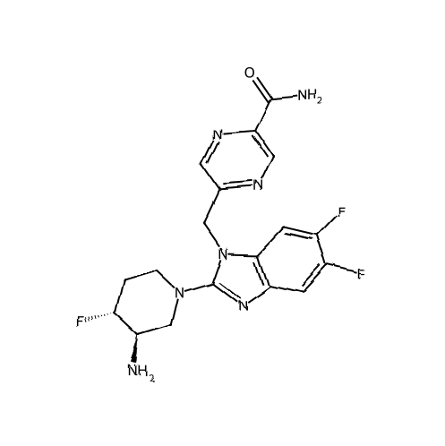 NC(=O)c1cnc(Cn2c(N3CC[C@@H](F)[C@H](N)C3)nc3cc(F)c(F)cc32)cn1